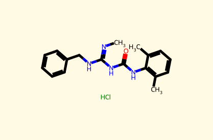 CN=C(NCc1ccccc1)NC(=O)Nc1c(C)cccc1C.Cl